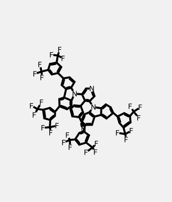 N#Cc1cccc(-c2c(-n3c4ccc(-c5cc(C(F)(F)F)cc(C(F)(F)F)c5)cc4c4cc(-c5cc(C(F)(F)F)cc(C(F)(F)F)c5)ccc43)cncc2-n2c3ccc(-c4cc(C(F)(F)F)cc(C(F)(F)F)c4)cc3c3cc(-c4cc(C(F)(F)F)cc(C(F)(F)F)c4)ccc32)c1